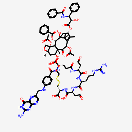 CC(=O)O[C@H]1C(=O)[C@@]2(C)C([C@H](OC(=O)c3ccccc3)[C@]3(O)C[C@H](OC(=O)[C@H](O)[C@@H](NC(=O)c4ccccc4)c4ccccc4)C(C)=C1C3(C)C)[C@]1(OC(C)=O)CO[C@@H]1C[C@@H]2OC(=O)OCCSSC[C@H](NC(=O)[C@H](CC=O)NC(=O)[C@H](CCCNC(=N)N)NC(=O)[C@H](CC=O)NC(=O)CC[C@H](NC(=O)c1ccc(NCc2cnc3nc(N)[nH]c(=O)c3n2)cc1)C(=O)O)C(=O)O